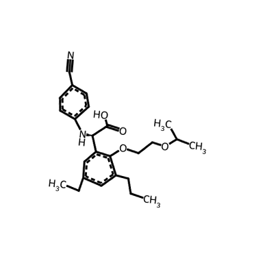 CCCc1cc(CC)cc([C@@H](Nc2ccc(C#N)cc2)C(=O)O)c1OCCOC(C)C